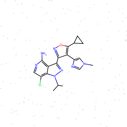 CC(C)n1nc(-c2noc(C3CC3)c2-c2cn(C)cn2)c2c(N)ncc(Cl)c21